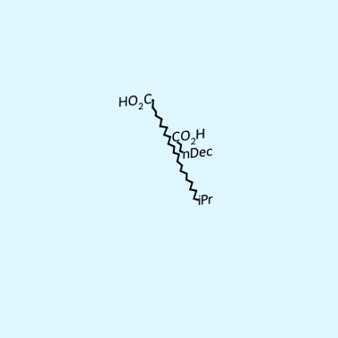 CC(C)CCCCCCCCCCCCCCCCCCCCCCC(=O)O.CCCCCCCCCCCCCC(=O)O